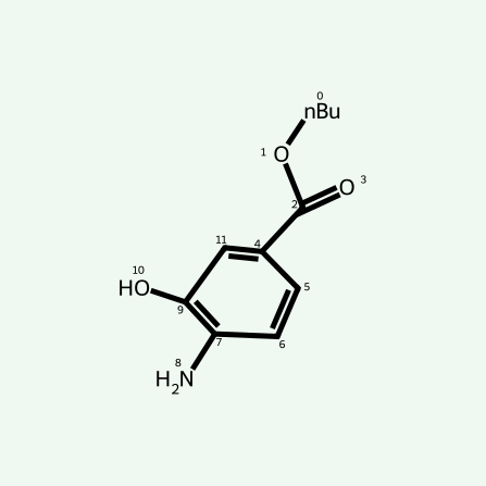 CCCCOC(=O)c1ccc(N)c(O)c1